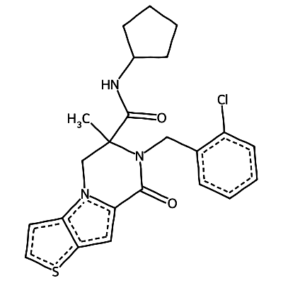 CC1(C(=O)NC2CCCC2)Cn2c(cc3sccc32)C(=O)N1Cc1ccccc1Cl